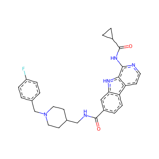 O=C(NCC1CCN(Cc2ccc(F)cc2)CC1)c1ccc2c(c1)[nH]c1c(NC(=O)C3CC3)nccc12